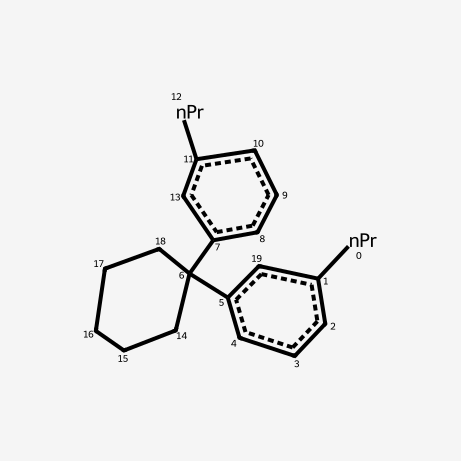 CCCc1cccc(C2(c3cccc(CCC)c3)CCCCC2)c1